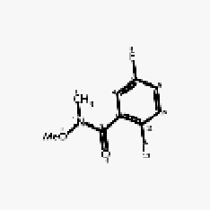 CON(C)C(=O)c1cc(F)ccc1F